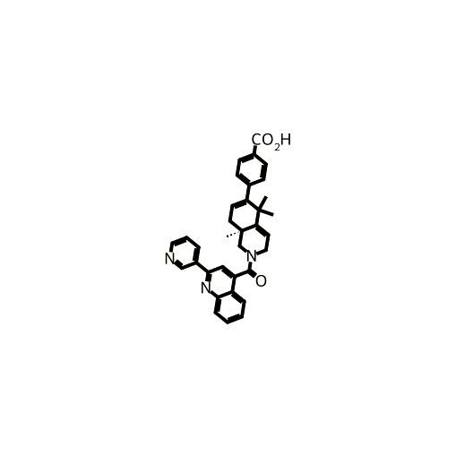 CC1(C)C(c2ccc(C(=O)O)cc2)=CC[C@]2(C)CN(C(=O)c3cc(-c4cccnc4)nc4ccccc34)CC=C12